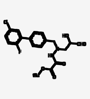 CC(C)(C)OC(=O)C(=O)NN(Cc1ccc(-c2cc(Cl)ccc2F)cc1)CC(O)C=O